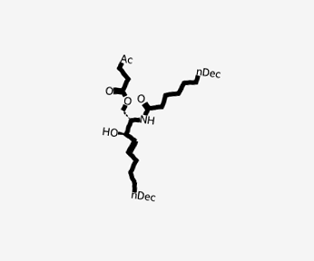 CCCCCCCCCCCCC/C=C/[C@@H](O)[C@H](COC(=O)CCC(C)=O)NC(=O)CCCCCCCCCCCCCCC